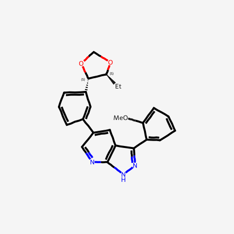 CC[C@@H]1OCO[C@H]1c1cccc(-c2cnc3[nH]nc(-c4ccccc4OC)c3c2)c1